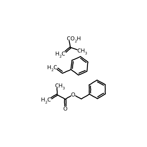 C=C(C)C(=O)O.C=C(C)C(=O)OCc1ccccc1.C=Cc1ccccc1